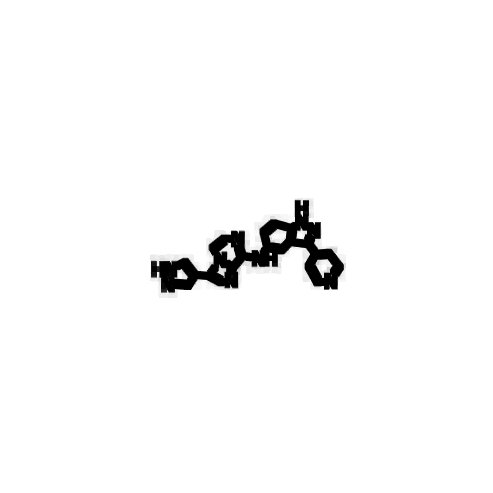 c1cc(-c2n[nH]c3ccc(Nc4nccn5c(-c6cn[nH]c6)cnc45)cc23)ccn1